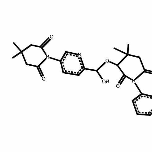 CC1(C)CC(=O)N(c2ccc(C(O)OC3C(=O)N(c4cccnc4)C(=O)CC3(C)C)nc2)C(=O)C1